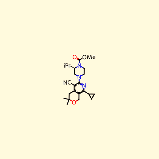 COC(=O)N1CCN(c2nc(C3CC3)c3c(c2C#N)CC(C)(C)OC3)C[C@H]1C(C)C